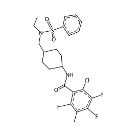 CCN(CC1CCC(NC(=O)c2c(F)c(C)c(F)c(F)c2Cl)CC1)S(=O)(=O)c1ccccc1